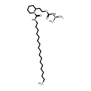 CCCCCCCCCCCCCCCCCCNC(=O)N1CCCCC1CCOC(=O)NN(C)C